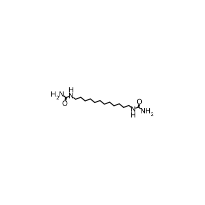 NC(=O)NCCCCCCCCCCCCNC(N)=O